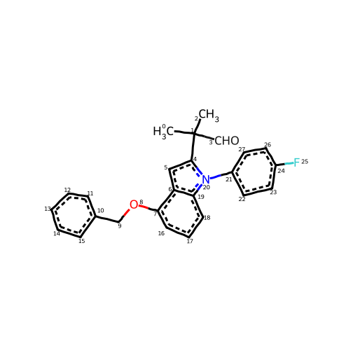 CC(C)(C=O)c1cc2c(OCc3ccccc3)cccc2n1-c1ccc(F)cc1